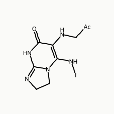 CC(=O)CNC1=C(NI)N2CCN=C2NC1=O